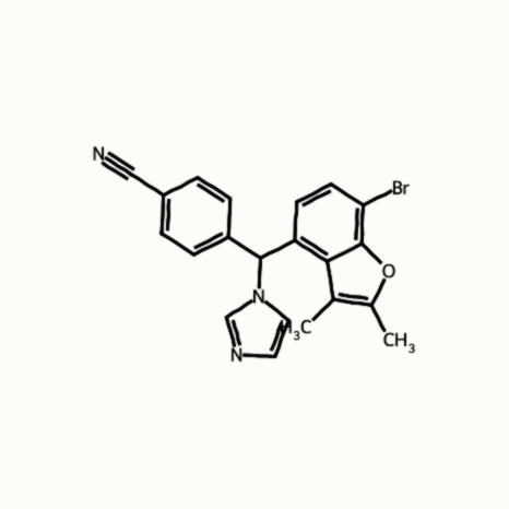 Cc1oc2c(Br)ccc(C(c3ccc(C#N)cc3)n3ccnc3)c2c1C